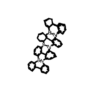 C1=CCC2C(=C1)B1C3=C4C(=CCC=C3)B3c5cccc6c5-c5c(cccc5N3c3cccc(c34)N1c1ccccc12)N1B6c2ccccc2-c2ccccc21